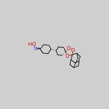 ON=C1CCC([C@H]2CC[C@]3(CC2)OO[C@]2(O3)C3CC4CC(C3)CC2C4)CC1